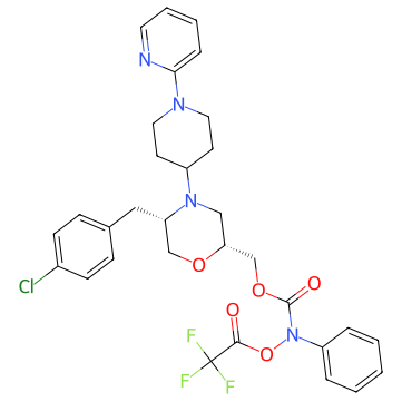 O=C(OC[C@H]1CN(C2CCN(c3ccccn3)CC2)[C@@H](Cc2ccc(Cl)cc2)CO1)N(OC(=O)C(F)(F)F)c1ccccc1